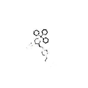 CCOC(=O)CCN1CCN(C/C=C2\CN(C(c3ccccc3)(c3ccccc3)c3ccccc3)CCC2O[Si](C)(C)C(C)(C)C)C(=O)C1